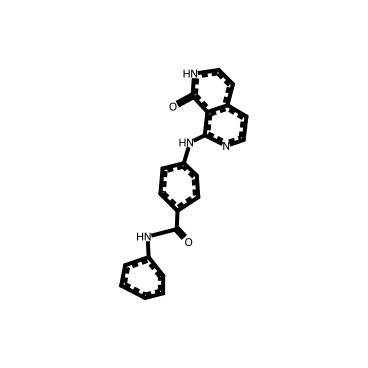 O=C(Nc1ccccc1)c1ccc(Nc2nccc3cc[nH]c(=O)c23)cc1